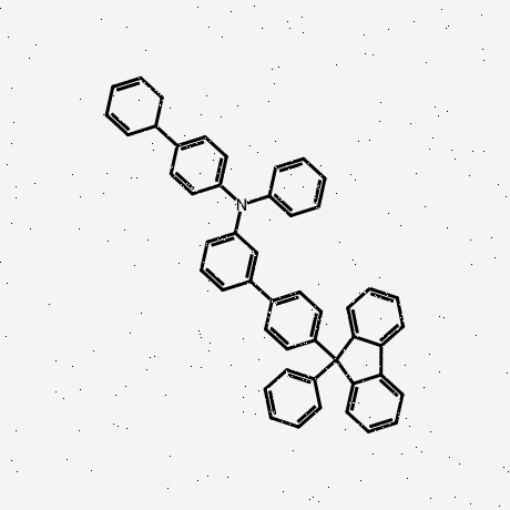 C1=CCC(c2ccc(N(c3ccccc3)c3cccc(-c4ccc(C5(c6ccccc6)c6ccccc6-c6ccccc65)cc4)c3)cc2)C=C1